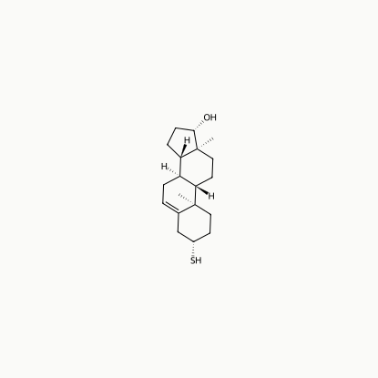 C[C@]12CC[C@H]3[C@@H](CC=C4C[C@@H](S)CC[C@@]43C)[C@@H]1CC[C@@H]2O